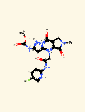 CC(C)N1Cc2c(n(CC(=O)Nc3ccc(F)cn3)c3cc(NC(=O)OC(C)(C)C)nn3c2=O)C1=O